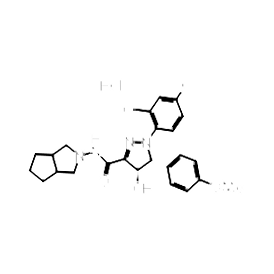 COc1ccc([C@@H]2[C@@H](C)C(C(=O)NN3CC4CCCC4C3)=NN2c2ccc(Cl)cc2Cl)cc1.Cl